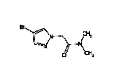 CN(C)C(=O)Cn1cc(Br)cn1